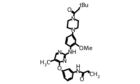 C=CC(=O)Nc1cccc(Oc2nc(Nc3ccc(N4CCN(C(=O)CC(C)(C)C)CC4)cc3OC)ncc2C)c1